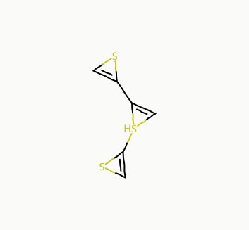 C1=C(C2=C[SH]2C2=CS2)S1